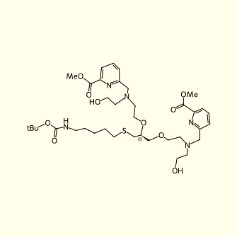 COC(=O)c1cccc(CN(CCO)CCOC[C@@H](CSCCCCCNC(=O)OC(C)(C)C)OCCN(CCO)Cc2cccc(C(=O)OC)n2)n1